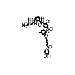 COc1cc(C(=O)N(C)c2ccc(C)cc2OCCCCCC(=O)N2CCC(O)CC2)ccc1NC(=O)c1cccc2[nH]c(CNC(=O)OC(C)(C)C)nc12